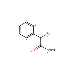 CCCCCCC(=O)C(Br)c1ccccc1